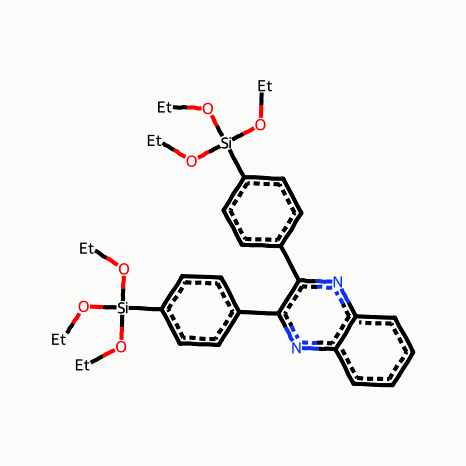 CCO[Si](OCC)(OCC)c1ccc(-c2nc3ccccc3nc2-c2ccc([Si](OCC)(OCC)OCC)cc2)cc1